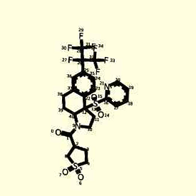 O=C(C1CCS(=O)(=O)C1)N1CCC2(S(=O)(=O)c3ccccn3)c3ccc(C(F)(C(F)(F)F)C(F)(F)F)cc3CCC12